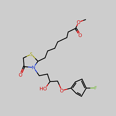 COC(=O)CCCCCCC1SCC(=O)N1CCC(O)COc1ccc(F)cc1